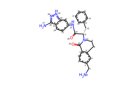 NCc1ccc2c(c1)CCN([C@@H](Cc1ccccc1)C(=O)Nc1ccc3c(N)n[nH]c3c1)C2=O